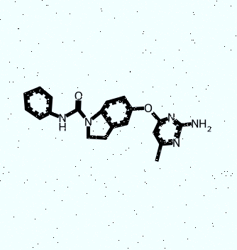 Cc1cc(Oc2ccc3c(c2)CCN3C(=O)Nc2ccccc2)nc(N)n1